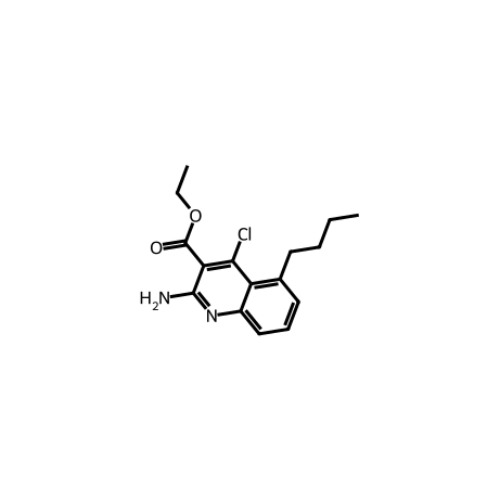 CCCCc1cccc2nc(N)c(C(=O)OCC)c(Cl)c12